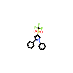 O=S(=O)(c1cc(-c2ccccc2)n(-c2ccccc2)c1)C(F)(F)F